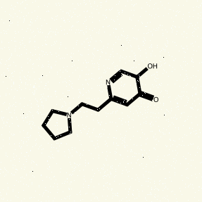 O=C1C=C(CCN2CCCC2)N=CC1O